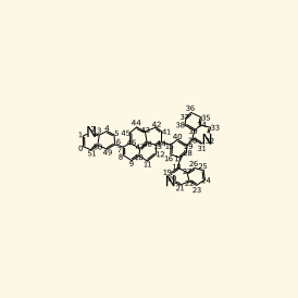 c1cnc2ccc(-c3ccc4ccc5c(-c6cc(-c7cncc8ccccc78)cc(-c7cncc8ccccc78)c6)ccc6ccc3c4c65)cc2c1